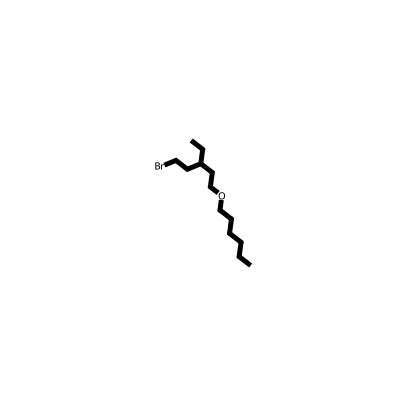 CCCCCCOCCC(CC)CCBr